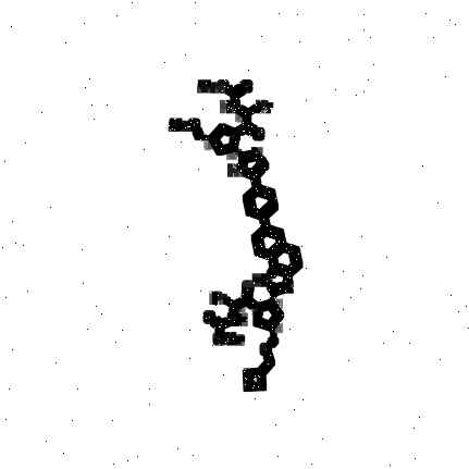 COC[C@H]1C[C@@H](c2ncc(-c3ccc(-c4ccc5c(ccc6nc([C@@H]7C[C@H](COCC8C=CC8)CN7C(=O)[C@@H](NC(=O)OC)C(C)C)[nH]c65)c4)cc3)[nH]2)N(C(=O)[C@@H](NC(=O)OC)C(C)C)C1